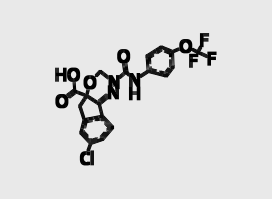 O=C(Nc1ccc(OC(F)(F)F)cc1)N1COC2(C(=O)O)Cc3cc(Cl)ccc3C2=N1